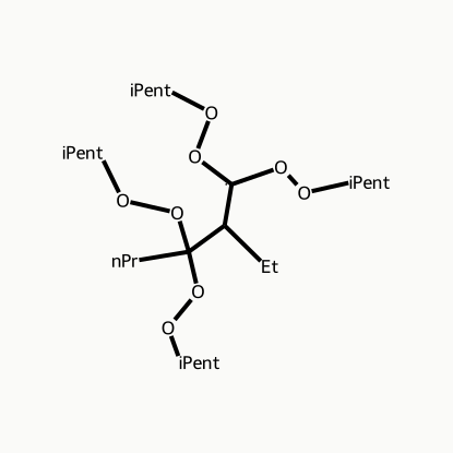 CCCC(C)OO[C](OOC(C)CCC)C(CC)C(CCC)(OOC(C)CCC)OOC(C)CCC